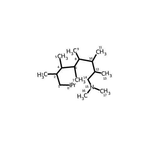 CC(C)CC(C)C(C)C(C)C(C)C(C)C(C)CN(C)C